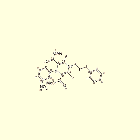 COC(=O)C1=C(C)N(CCCc2ccccc2)C(C)=C(C(=O)OC)C1c1cccc([N+](=O)[O-])c1